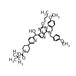 CCCCOc1nc(N(Cc2ccc(OC)cc2)Cc2ccc(OC)cc2)c2ncc(C(O)c3ccc(C4CCN(C(=O)OC(C)(C)C)CC4)cn3)n2n1